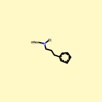 CCCCCCN(CC)CCCc1ccccc1